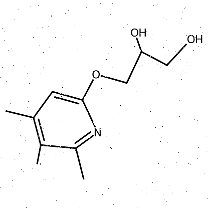 [CH2]c1c(C)cc(OCC(O)CO)nc1C